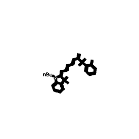 C=C(/C=C/C=C/C=C1/N(CCCC)c2ccccc2C1(C)C)C(C)(C)c1ccccc1C